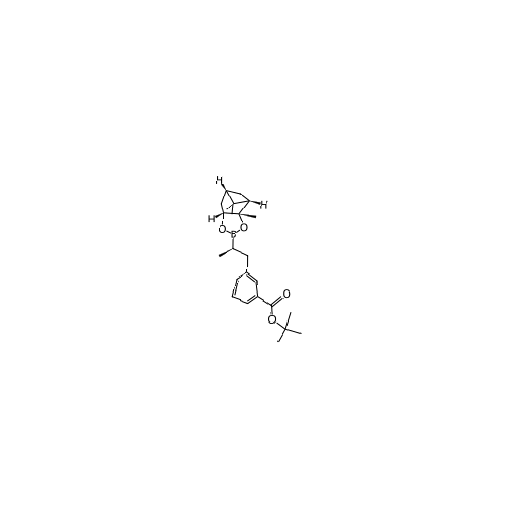 C[C@H](Cc1cccc(C(=O)OC(C)(C)C)c1)B1O[C@@H]2C[C@@H]3C[C@@H](C3(C)C)[C@]2(C)O1